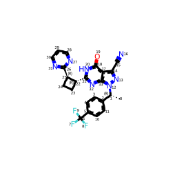 C[C@H](c1ccc(C(F)(F)F)cc1)n1nc(C#N)c2c(=O)[nH]c([C@@H]3CC[C@H]3c3ncccn3)nc21